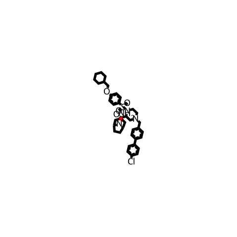 NC1CC2CCC(C1)N2C(=O)C1CN(Cc2ccc(-c3ccc(Cl)cc3)cc2)CCN1S(=O)(=O)c1ccc(OCC2CCCCC2)cc1